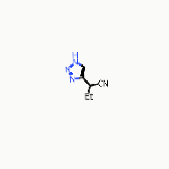 CCC(C#N)c1c[nH]nn1